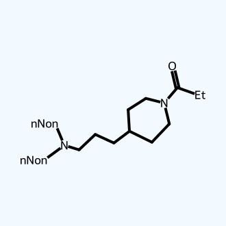 CCCCCCCCCN(CCCCCCCCC)CCCC1CCN(C(=O)CC)CC1